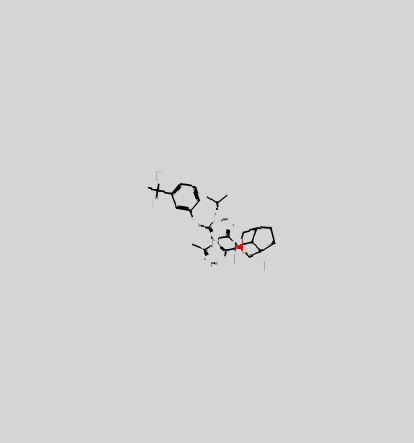 Cc1noc(N2C[C@H]3CC[C@@H](C2)C3Nc2nc(Oc3cccc(C(F)(F)F)c3)n(C(C)C)n2)n1